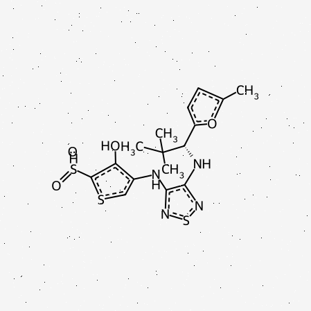 Cc1ccc([C@H](Nc2nsnc2Nc2csc([SH](=O)=O)c2O)C(C)(C)C)o1